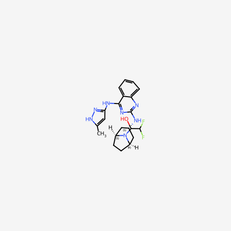 Cc1cc(Nc2nc(N[C@@H]3C[C@H]4CC[C@@H](C3)N4C(O)C(F)F)nc3ccccc23)n[nH]1